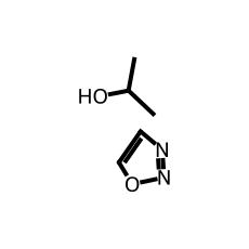 CC(C)O.c1conn1